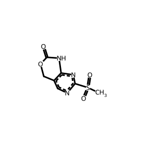 CS(=O)(=O)c1ncc2c(n1)NC(=O)OC2